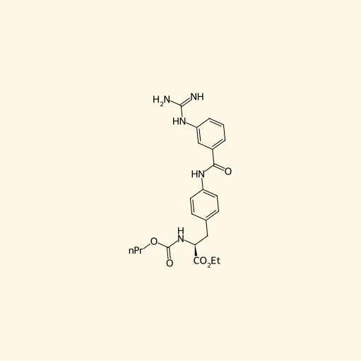 CCCOC(=O)N[C@@H](Cc1ccc(NC(=O)c2cccc(NC(=N)N)c2)cc1)C(=O)OCC